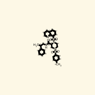 Cc1ccc(S(=O)(=O)N2CCN(S(=O)(=O)c3cccc4cccnc34)C(C(=O)NCC(C)c3ccccc3)C2)cc1